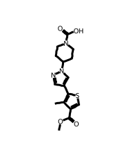 COC(=O)c1csc(-c2cnn(C3CCN(C(=O)O)CC3)c2)c1C